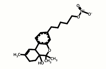 CC1=CC2c3ccc(CCCCCO[N+](=O)[O-])cc3OC(C)(C)C2(O)CC1